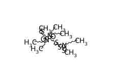 CCCCCCCCn1c2cc(C)sc2c2sc(-c3ccc(/C=C/C4=C5C(=C(/C=C/c6ccc(C)s6)C(=O)N5CC(CCCC)CCCCCC)N(CC(CCCC)CCCCCC)C4=O)s3)cc21